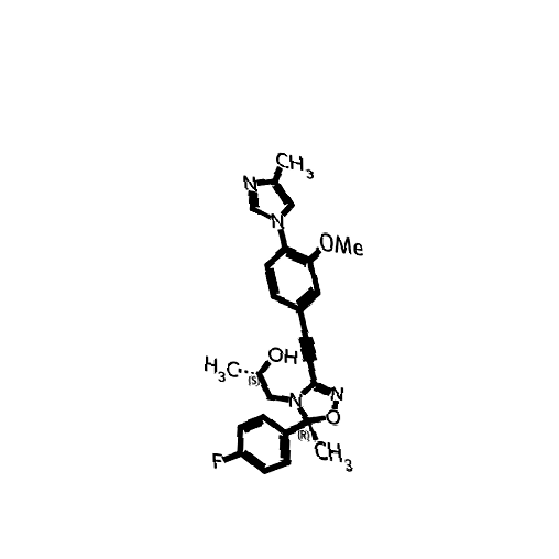 COc1cc(C#CC2=NO[C@](C)(c3ccc(F)cc3)N2C[C@H](C)O)ccc1-n1cnc(C)c1